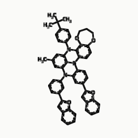 Cc1cc2c3c(c1)N(c1ccc(C(C)(C)C)cc1)c1c(ccc4c1OCCCO4)B3c1ccc(-c3cc4ccccc4o3)cc1N2c1cccc(-c2cc3ccccc3o2)c1